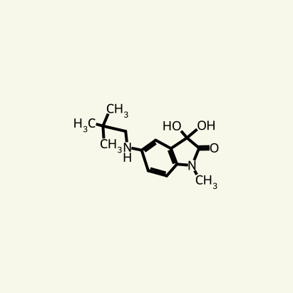 CN1C(=O)C(O)(O)c2cc(NCC(C)(C)C)ccc21